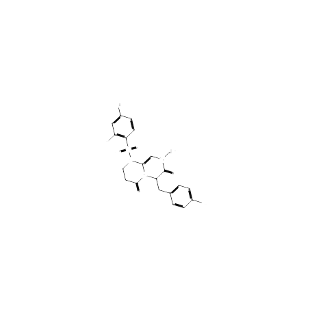 CCc1cc(Br)ccc1S(=O)(=O)N1CCC(=O)N2C1=CN(C(C)C)C(=O)C2Cc1ccc(Br)cc1